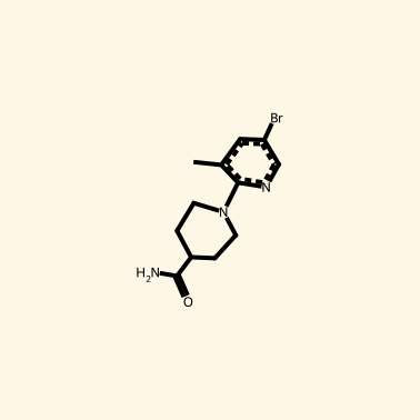 Cc1cc(Br)cnc1N1CCC(C(N)=O)CC1